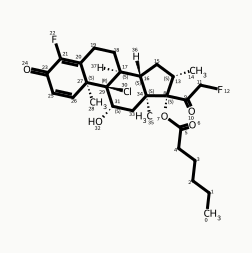 CCCCCC(=O)O[C@@]1(C(=O)CF)[C@@H](C)C[C@H]2[C@@H]3CCC4=C(F)C(=O)C=C[C@]4(C)[C@@]3(Cl)[C@@H](O)C[C@@]21C